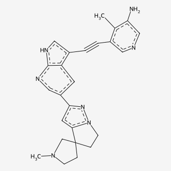 Cc1c(N)cncc1C#Cc1c[nH]c2ncc(-c3cc4n(n3)CCC43CCN(C)C3)cc12